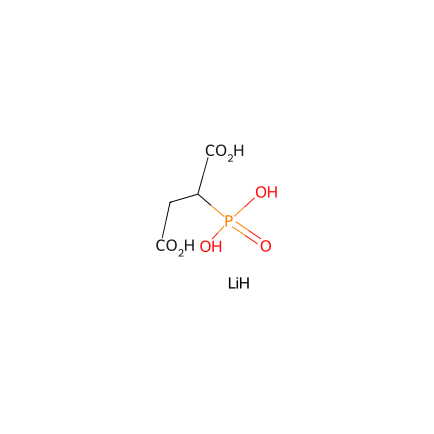 O=C(O)CC(C(=O)O)P(=O)(O)O.[LiH]